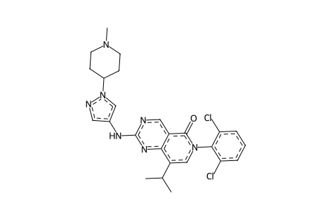 CC(C)c1cn(-c2c(Cl)cccc2Cl)c(=O)c2cnc(Nc3cnn(C4CCN(C)CC4)c3)nc12